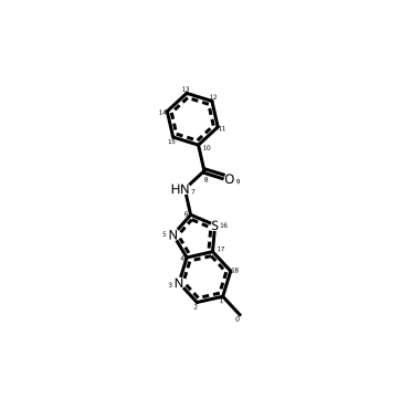 Cc1cnc2nc(NC(=O)c3ccccc3)sc2c1